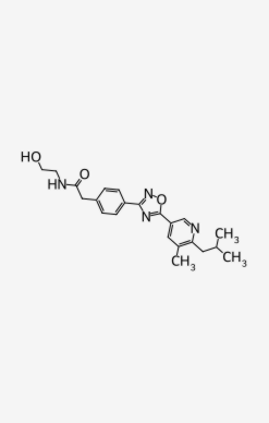 Cc1cc(-c2nc(-c3ccc(CC(=O)NCCO)cc3)no2)cnc1CC(C)C